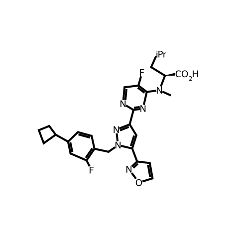 CC(C)C[C@@H](C(=O)O)N(C)c1nc(-c2cc(-c3ccon3)n(Cc3ccc(C4CCC4)cc3F)n2)ncc1F